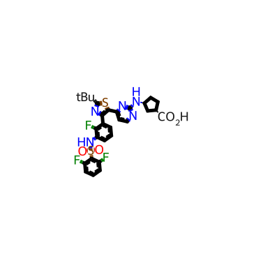 CC(C)(C)c1nc(-c2cccc(NS(=O)(=O)c3c(F)cccc3F)c2F)c(-c2ccnc(N[C@@H]3CC[C@H](C(=O)O)C3)n2)s1